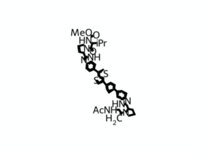 C=C(CNC(C)=O)N1CCCC1c1nc2ccc(-c3ccc(-c4csc5c(-c6ccc7nc(C8C=CCN8C(=O)C(NC(=O)OC)C(C)C)[nH]c7c6)csc45)cc3)cc2[nH]1